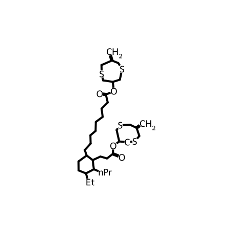 C=C1CSCC(OC(=O)CCCCCCCCC2CCC(CC)C(CCC)C2CCC(=O)OC2CSCC(=C)CSC2)CSC1